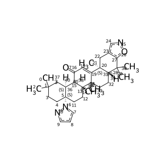 CC1(C)CC[C@]2(n3cccn3)CC[C@]3(C)[C@H](C(=O)C=C4[C@@]5(C)Cc6cnoc6C(C)(C)[C@@H]5CC[C@]43C)[C@@H]2C1